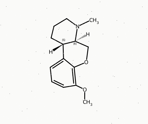 COc1cccc2c1OC[C@H]1[C@H]2CCCN1C